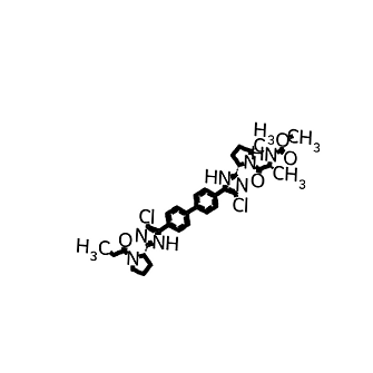 CCC(=O)N1CCC[C@H]1c1nc(Cl)c(-c2ccc(-c3ccc(-c4[nH]c([C@@H]5CC[C@H](C)N5C(=O)[C@H](C)NC(=O)OC)nc4Cl)cc3)cc2)[nH]1